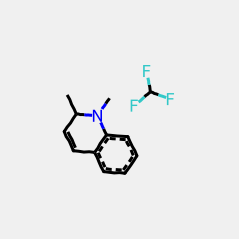 CC1C=Cc2ccccc2N1C.FC(F)F